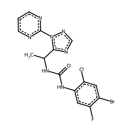 CC(NC(=O)Nc1cc(F)c(Br)cc1Cl)c1ncnn1-c1ncccn1